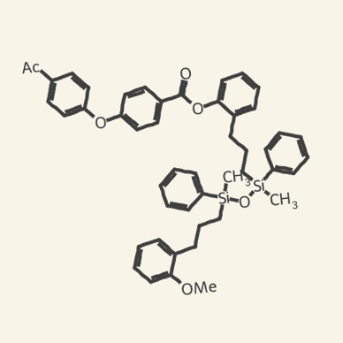 COc1ccccc1CCC[Si](C)(O[Si](C)(CCCc1ccccc1OC(=O)c1ccc(Oc2ccc(C(C)=O)cc2)cc1)c1ccccc1)c1ccccc1